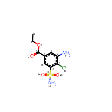 CCOC(=O)c1cc(N)c(Cl)c(S(N)(=O)=O)c1